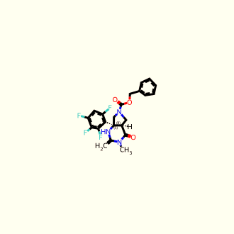 C=C1N[C@@]2(c3c(F)cc(F)c(F)c3F)CN(C(=O)OCc3ccccc3)C[C@H]2C(=O)N1C